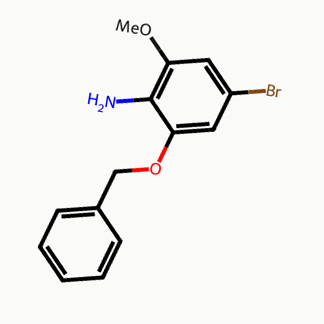 COc1cc(Br)cc(OCc2ccccc2)c1N